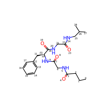 CCCC(=O)NCC(=O)N[C@@H](Cc1ccccc1)C(=O)NCC(=O)NCC(C)C